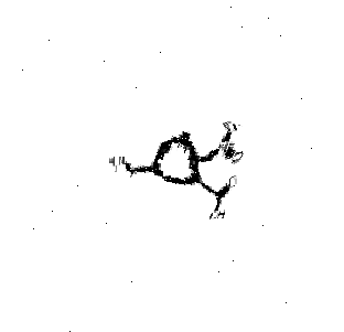 NCc1ccc([N+](=O)[O-])c(C(=O)O)c1